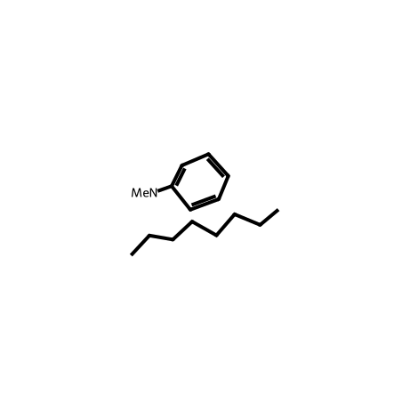 CCCCCCCC.CNc1ccccc1